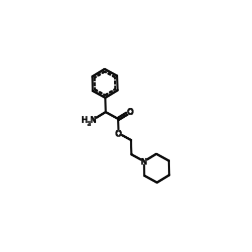 NC(C(=O)OCCN1CCCCC1)c1ccccc1